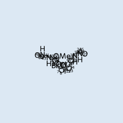 COc1nc(OCc2cccc(-c3cccc(-c4ccc(CNCC5CCC(=O)N5)cc4)c3Cl)c2Cl)c(Br)cc1CNCC1CCC(=O)N1